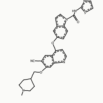 CN1CCC(COc2cc3nccc(Oc4ccc5c(ccn5C(=O)Nc5nccs5)c4)c3cc2C#N)CC1